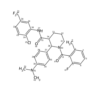 Cc1cccc(F)c1C(=O)N1CCCC(C(=O)Nc2cc(C(F)(F)F)ccc2Cl)C1c1ccc(N(C)C)cc1